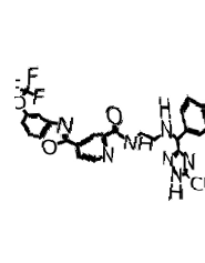 Cc1nc(C(NCCNC(=O)c2cc(-c3nc4cc(OC(F)(F)F)ccc4o3)ccn2)c2ccccc2)n[nH]1